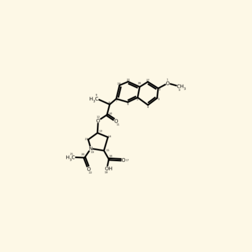 COc1ccc2cc(C(C)C(=O)OC3CC(C(=O)O)N(C(C)=O)C3)ccc2c1